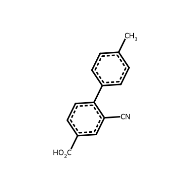 Cc1ccc(-c2ccc(C(=O)O)cc2C#N)cc1